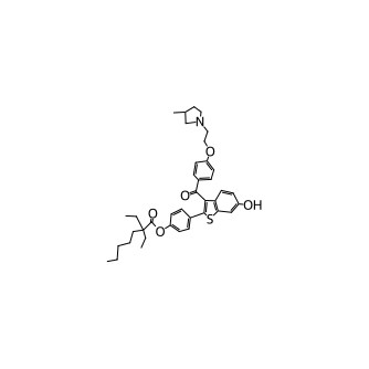 CCCCCC(CC)(CC)C(=O)Oc1ccc(-c2sc3cc(O)ccc3c2C(=O)c2ccc(OCCN3CCC(C)C3)cc2)cc1